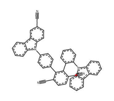 N#Cc1ccc2c(c1)c1ccccc1n2-c1ccc(-c2c(C#N)ccc(C#N)c2-c2ccccc2-n2c3ccccc3c3ccccc32)cc1